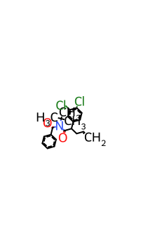 C=CCC(C(=O)N(C(=O)c1ccccc1)C(C)(C)C)c1ccc(Cl)c(Cl)c1